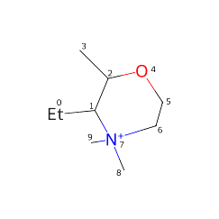 CCC1C(C)OCC[N+]1(C)C